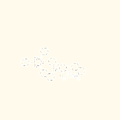 CC1(C)c2cc3c(cc2-c2ccc4ccccc4c21)c1ccccc1n3-c1cccc2ccc(-c3nc(-c4ccccc4)nc(-c4ccccc4)n3)cc12